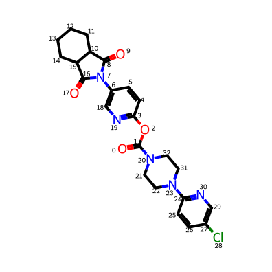 O=C(Oc1ccc(N2C(=O)C3CCCCC3C2=O)cn1)N1CCN(c2ccc(Cl)cn2)CC1